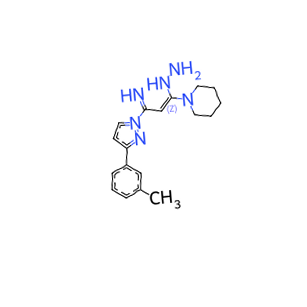 Cc1cccc(-c2ccn(C(=N)/C=C(\NN)N3CCCCC3)n2)c1